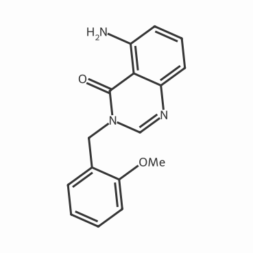 COc1ccccc1Cn1cnc2cccc(N)c2c1=O